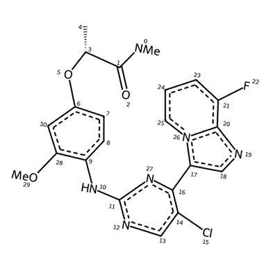 CNC(=O)[C@@H](C)Oc1ccc(Nc2ncc(Cl)c(-c3cnc4c(F)cccn34)n2)c(OC)c1